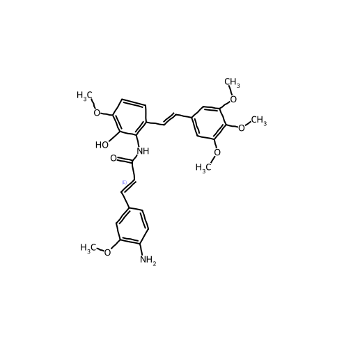 COc1cc(/C=C/C(=O)Nc2c(C=Cc3cc(OC)c(OC)c(OC)c3)ccc(OC)c2O)ccc1N